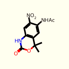 CC(=O)Nc1cc2c(cc1[N+](=O)[O-])NC(=O)OC2(C)C